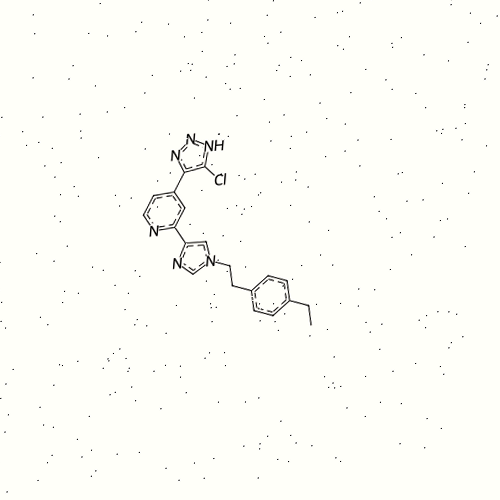 CCc1ccc(CCn2cnc(-c3cc(-c4nn[nH]c4Cl)ccn3)c2)cc1